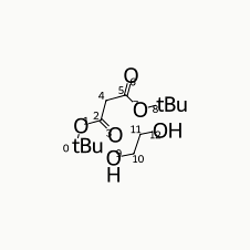 CC(C)(C)OC(=O)CC(=O)OC(C)(C)C.OCCO